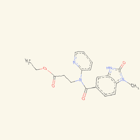 CCOC(=O)CCN(C(=O)c1ccc2c(c1)[nH]c(=O)n2C)c1ccccn1